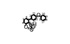 O=S1(=O)COc2cccc(-c3ccc(Oc4ccccc4)cc3)c2N1